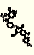 O=c1[nH]ncc(N[C@H]2CCC[C@@H](Cn3cc(Br)c4cc(-c5ncc(C(F)(F)F)cn5)c(F)cc4c3=O)C2)c1C(F)(F)F